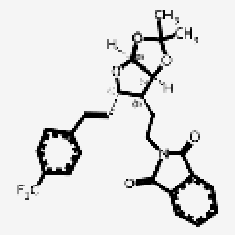 CC1(C)O[C@@H]2O[C@@H](C=Cc3ccc(C(F)(F)F)cc3)[C@H](CCN3C(=O)c4ccccc4C3=O)[C@@H]2O1